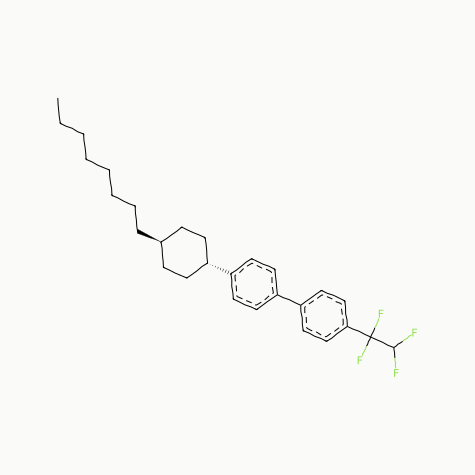 CCCCCCCC[C@H]1CC[C@H](c2ccc(-c3ccc(C(F)(F)C(F)F)cc3)cc2)CC1